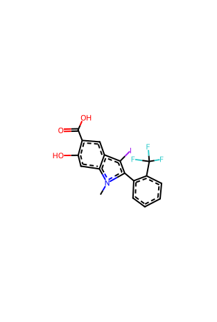 Cn1c(-c2ccccc2C(F)(F)F)c(I)c2cc(C(=O)O)c(O)cc21